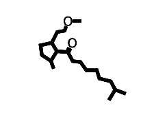 COCCC1CCC(C)C1C(=O)CCCCCCC(C)C